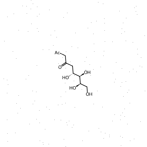 CC(=O)CC(=O)C[C@@H](O)[C@@H](O)[C@H](O)CO